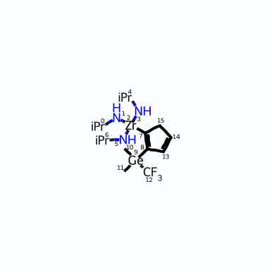 CC(C)[NH][Zr]([NH]C(C)C)([NH]C(C)C)[C]1=[C]([Ge]([CH3])([CH3])[C](F)(F)F)C=CC1